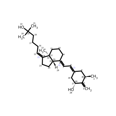 C=C1[C@H](C)C/C(=C/C=C2\CCC[C@]3(C)/C(=C\CCCC(C)(C)O)CC[C@@H]23)C[C@H]1O